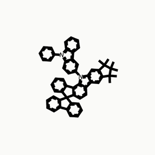 CC1(C)c2cc3c4ccc5c(c4n(-c4ccc6c(c4)c4ccccc4n6-c4ccccc4)c3cc2C(C)(C)C1(C)C)-c1ccccc1C51c2ccccc2-c2ccccc21